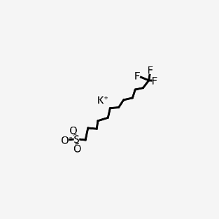 O=S(=O)([O-])CCCCCCCCCCCC(F)(F)F.[K+]